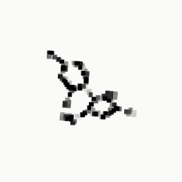 CCOC(=O)c1cc(C(C)=O)[nH]c1-c1ccc(Cl)cc1Cl